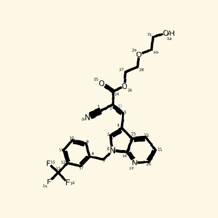 N#C/C(=C\c1cn(Cc2cccc(C(F)(F)F)c2)c2ncccc12)C(=O)OCCOCCO